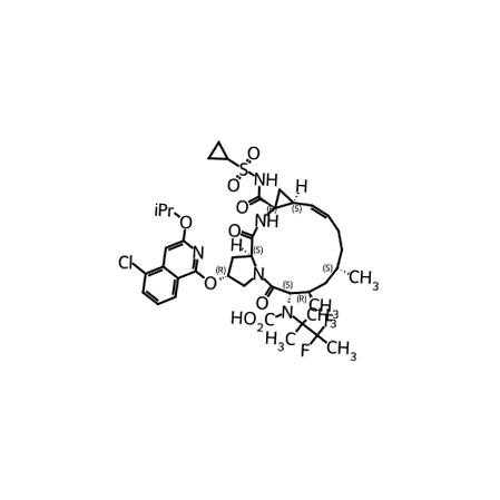 CC(C)Oc1cc2c(Cl)cccc2c(O[C@@H]2C[C@H]3C(=O)N[C@]4(C(=O)NS(=O)(=O)C5CC5)C[C@H]4C=CCC[C@H](C)C[C@@H](C)[C@H](N(C(=O)O)C(C)(C)C(C)(F)F)C(=O)N3C2)n1